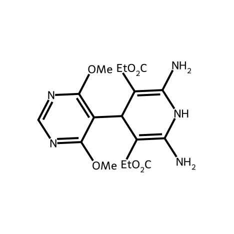 CCOC(=O)C1=C(N)NC(N)=C(C(=O)OCC)C1c1c(OC)ncnc1OC